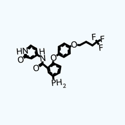 O=C(Nc1cc[nH]c(=O)c1)c1cc(P)ccc1Oc1ccc(OCCCC(F)(F)F)cc1